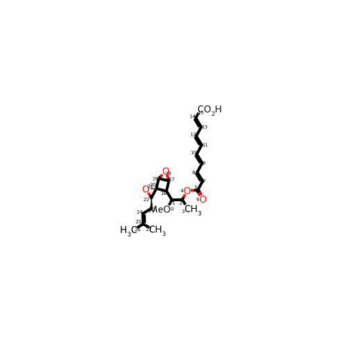 COC(C(C)OC(=O)/C=C/C=C/C=C/C=C/C(=O)O)C1C2OC2[C@@]12O[C@@H]2CC=C(C)C